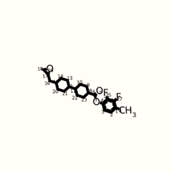 Cc1ccc(OC(=O)C2CCC(C3CCC(CC4CO4)CC3)CC2)c(F)c1F